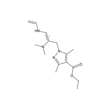 C=CN/C=C(/Cn1nc(C)c(C(=O)OCC)c1C)N(C)C